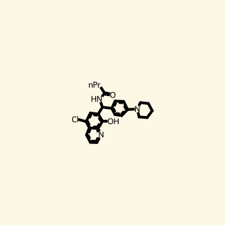 CCCC(=O)NC(c1ccc(N2CCCCC2)cc1)c1cc(Cl)c2cccnc2c1O